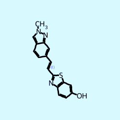 Cn1cc2ccc(/C=C/c3nc4ccc(O)cc4s3)cc2n1